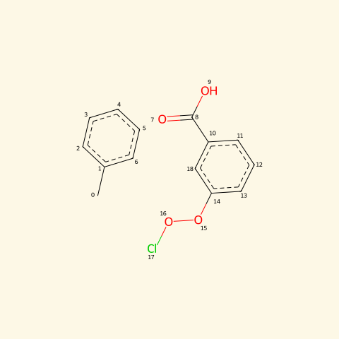 Cc1ccccc1.O=C(O)c1cccc(OOCl)c1